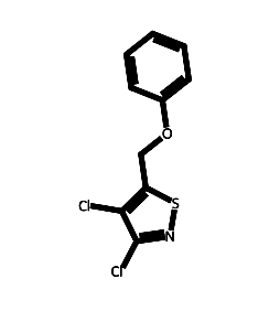 Clc1nsc(COc2ccccc2)c1Cl